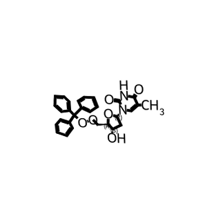 Cc1cn([C@H]2C[C@H](O)[C@@H](COOC(c3ccccc3)(c3ccccc3)c3ccccc3)O2)c(=O)[nH]c1=O